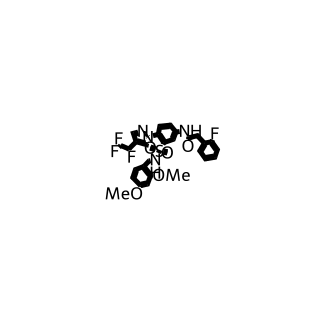 COc1ccc(CNS(=O)(=O)c2cc(NC(=O)Cc3ccccc3F)ccc2-n2cc(C(F)C(F)F)cn2)c(OC)c1